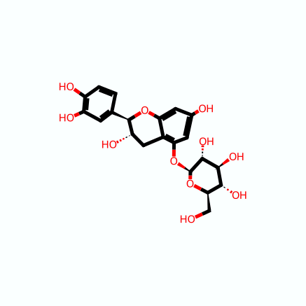 OC[C@H]1O[C@@H](Oc2cc(O)cc3c2C[C@H](O)[C@@H](c2ccc(O)c(O)c2)O3)[C@H](O)[C@@H](O)[C@@H]1O